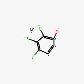 [Li+].[O-]c1ccc(F)c(F)c1F